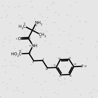 CC(C)(N)C(=O)NC(CCCc1ccc(F)cc1)C(=O)O